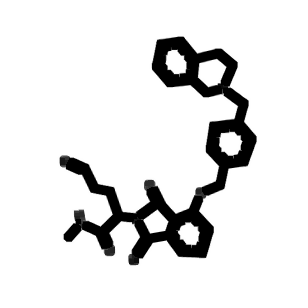 CNC(=O)C(CCC=O)N1C(=O)c2cccc(OCc3ccc(CN4CCc5ccccc5C4)cc3)c2C1=O